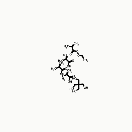 C=C(C)C(=O)O.C=C(C)C(=O)O.C=C(C)C(=O)O.C=C(C)C(=O)OOCC.OCC(CO)(CO)CO